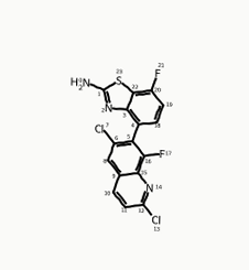 Nc1nc2c(-c3c(Cl)cc4ccc(Cl)nc4c3F)ccc(F)c2s1